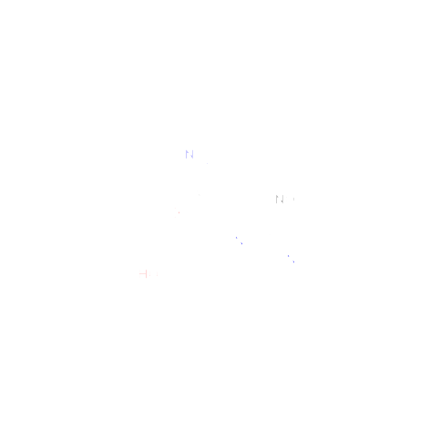 CC(C(N)=O)[N+]1(CCO)C=CN=C1[N+](=O)[O-]